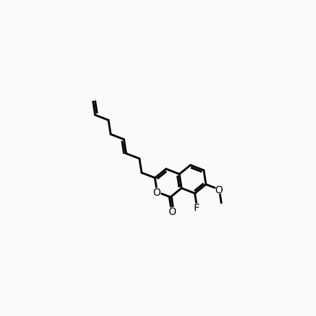 C=CCC/C=C/CCc1cc2ccc(OC)c(F)c2c(=O)o1